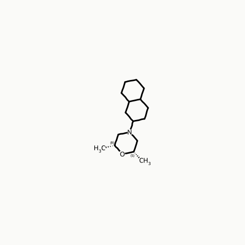 C[C@@H]1CN(C2CCC3CCCCC3C2)C[C@H](C)O1